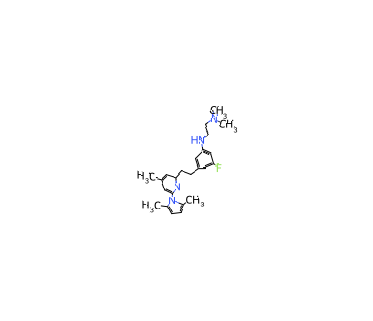 Cc1cc(CCc2cc(F)cc(NCCN(C)C)c2)nc(-n2c(C)ccc2C)c1